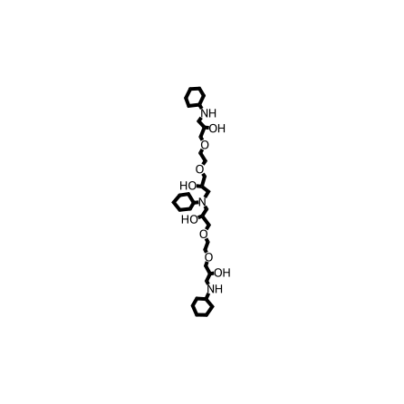 OC(CNC1CCCCC1)COCCOCC(O)CN(CC(O)COCCOCC(O)CNC1CCCCC1)C1CCCCC1